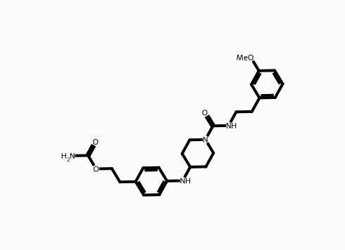 COc1cccc(CCNC(=O)N2CCC(Nc3ccc(CCOC(N)=O)cc3)CC2)c1